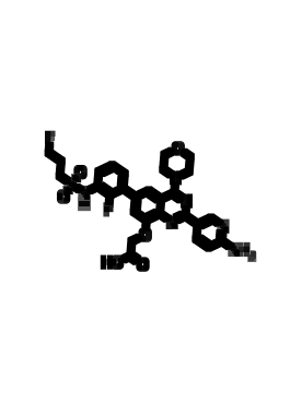 Nc1ccc(-c2nc(N3CCOCC3)c3cc(-c4cccc(NS(=O)(=O)CCCF)c4F)cc(OCC(=O)O)c3n2)cn1